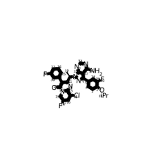 CC(C)Oc1ccc(-c2nn([C@H](C)c3nc4c(Cl)cc(F)cn4c(=O)c3-c3cccc(F)c3)c3ncnc(N)c23)cc1F